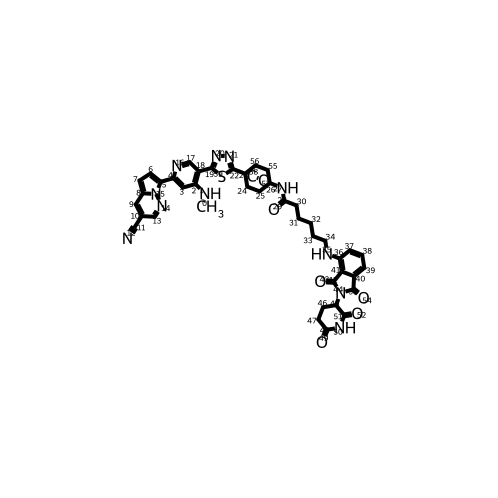 CNc1cc(-c2ccc3cc(C#N)cnn23)ncc1-c1nnc(C23CCC(NC(=O)CCCCCNc4cccc5c4C(=O)N(C4CCC(=O)NC4=O)C5=O)(CC2)CC3)s1